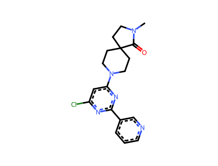 CN1CCC2(CCN(c3cc(Cl)nc(-c4cccnc4)n3)CC2)C1=O